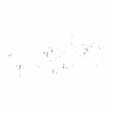 Nc1ncc(C2=CC[C@@H](NC3COC3)CC2)c2c1c(-c1ccc(NS(=O)(=O)c3ccccc3Cl)c(F)c1)nn2C1CC1